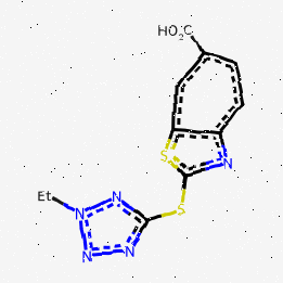 CCn1nnc(Sc2nc3ccc(C(=O)O)cc3s2)n1